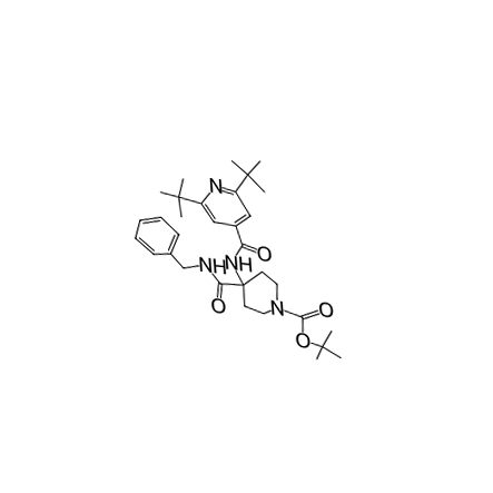 CC(C)(C)OC(=O)N1CCC(NC(=O)c2cc(C(C)(C)C)nc(C(C)(C)C)c2)(C(=O)NCc2ccccc2)CC1